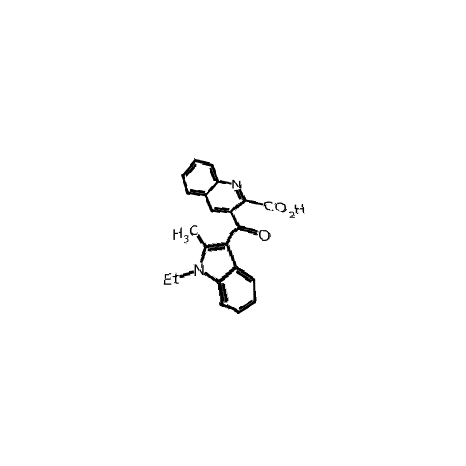 CCn1c(C)c(C(=O)c2cc3ccccc3nc2C(=O)O)c2ccccc21